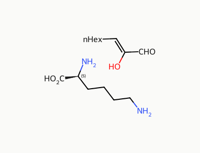 CCCCCCC=C(O)C=O.NCCCC[C@H](N)C(=O)O